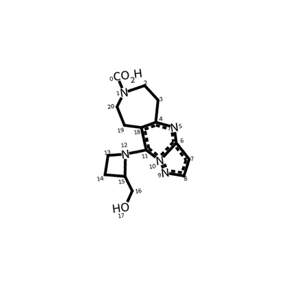 O=C(O)N1CCc2nc3ccnn3c(N3CCC3CO)c2CC1